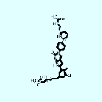 CC(=N)NCC[C@@H]1CCC[C@@H](c2ccc(-n3cc4cc(-c5cc(CCC[C@@H](N)CS(C)(=O)=O)cc(Cl)c5F)[nH]c4nc3=O)cc2)N1